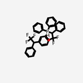 FC(F)(F)C(c1ccccc1)c1cccc([PH](c2ccccc2)(c2ccccc2)C(c2ccccc2)C(F)(F)F)c1